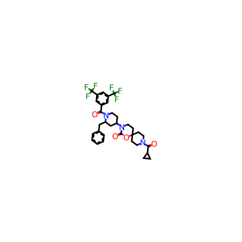 O=C(C1CC1)N1CCC2(CC1)CCN(C1CCN(C(=O)c3cc(C(F)(F)F)cc(C(F)(F)F)c3)C(Cc3ccccc3)C1)C(=O)O2